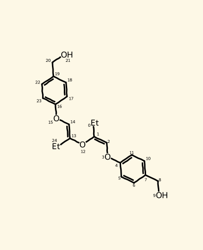 CCC(=COc1ccc(CO)cc1)OC(=COc1ccc(CO)cc1)CC